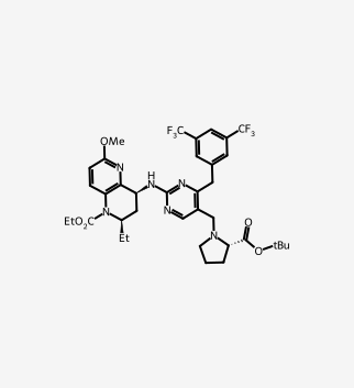 CCOC(=O)N1c2ccc(OC)nc2[C@@H](Nc2ncc(CN3CCC[C@H]3C(=O)OC(C)(C)C)c(Cc3cc(C(F)(F)F)cc(C(F)(F)F)c3)n2)C[C@H]1CC